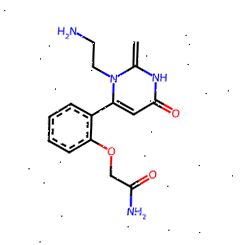 C=C1NC(=O)C=C(c2ccccc2OCC(N)=O)N1CCN